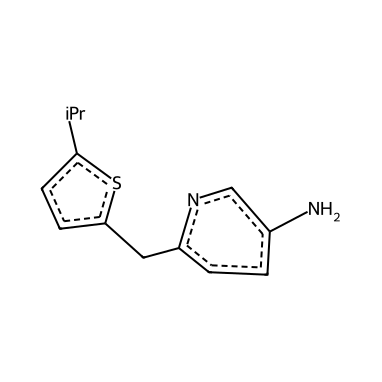 CC(C)c1ccc(Cc2ccc(N)cn2)s1